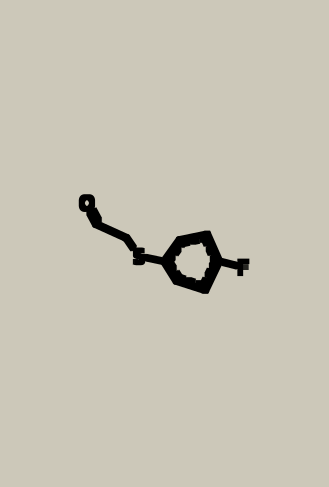 O=CCSc1ccc(F)cc1